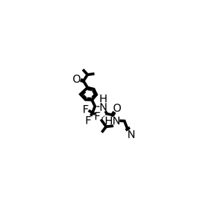 CC(C)C[C@H](N[C@@H](c1ccc(C(=O)C(C)C)cc1)C(F)(F)F)C(=O)NCC#N